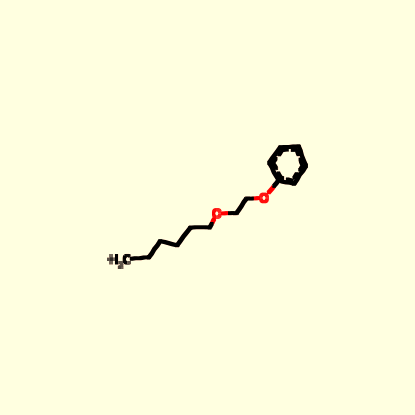 [CH2]CCCCCOCCOc1ccccc1